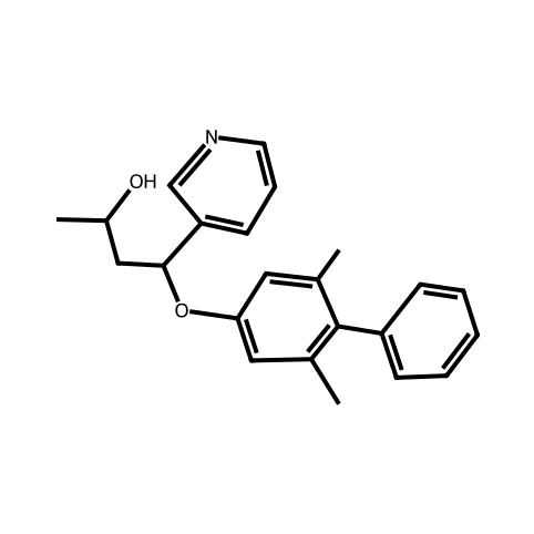 Cc1cc(OC(CC(C)O)c2cccnc2)cc(C)c1-c1ccccc1